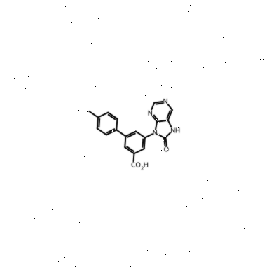 Cc1ccc(-c2cc(C(=O)O)cc(-n3c(=O)[nH]c4cncnc43)c2)cc1